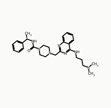 C[C@@H](NC(=O)N1CCN(Cc2nc(NCCCN(C)C)c3ccccc3n2)CC1)c1ccccc1